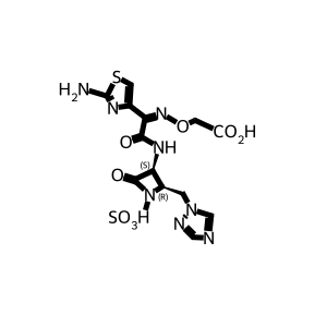 Nc1nc(C(=NOCC(=O)O)C(=O)N[C@@H]2C(=O)N(S(=O)(=O)O)[C@@H]2Cn2cncn2)cs1